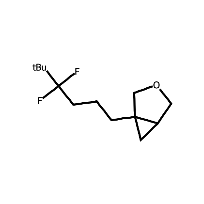 CC(C)(C)C(F)(F)CCCC12COCC1C2